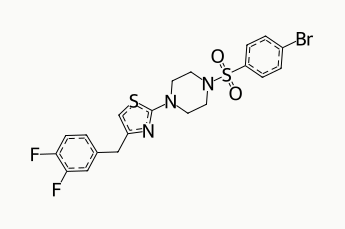 O=S(=O)(c1ccc(Br)cc1)N1CCN(c2nc(Cc3ccc(F)c(F)c3)cs2)CC1